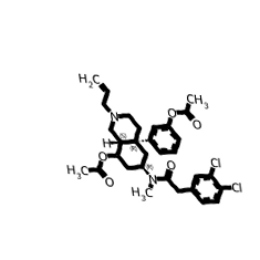 C=CCN1CC[C@@]2(c3cccc(OC(C)=O)c3)C[C@@H](N(C)C(=O)Cc3ccc(Cl)c(Cl)c3)CC(OC(C)=O)[C@@H]2C1